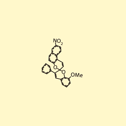 COc1cccc2c1OC1(C=Cc3c(ccc4cc([N+](=O)[O-])ccc34)O1)C(c1ccccc1)=C2